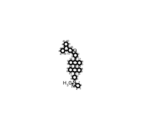 Cc1nc2ccccc2n1-c1ccc(-c2c3ccccc3c(-c3c4ccccc4c(-c4ccc5oc6cc7c8ccccc8c8ccccc8c7cc6c5c4)c4ccccc34)c3ccccc23)cc1